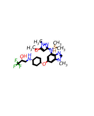 COc1cc(N(c2cc(O[C@H]3CC[C@@H](NC[C@@H](O)C(F)(F)F)CC3)cc3c2ncn3C)[SH](C)C)nn1C